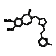 COc1cc2c(cc1OC)CC(=O)N(CC1CCN(CCc3cccc(C)n3)C1)C=C2